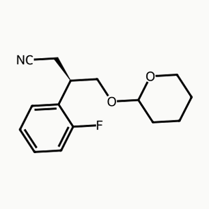 N#CC[C@@H](COC1CCCCO1)c1ccccc1F